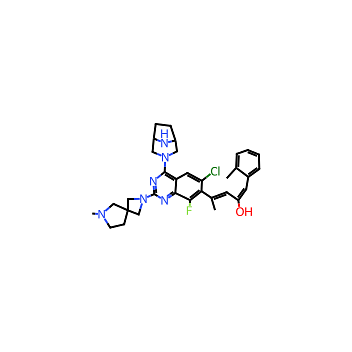 C/C(=C\C(O)=C/c1ccccc1C)c1c(Cl)cc2c(N3CC4CCC(C3)N4)nc(N3CC4(CCN(C)C4)C3)nc2c1F